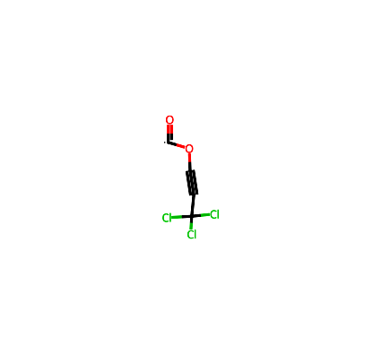 O=[C]OC#CC(Cl)(Cl)Cl